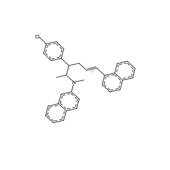 CC(C(C/C=C/c1cccc2ccccc12)c1ccc(Cl)cc1)N(C)c1ccc2ccccc2c1